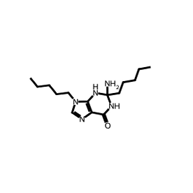 CCCCCn1cnc2c1NC(N)(CCCCC)NC2=O